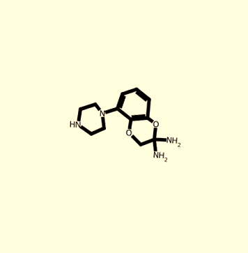 NC1(N)COc2c(cccc2N2CCNCC2)O1